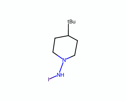 CC(C)(C)C1CCN(NI)CC1